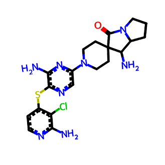 Nc1nc(N2CCC3(CC2)C(=O)N2CCCC2C3N)cnc1Sc1ccnc(N)c1Cl